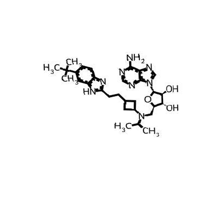 CC(C)N(C[C@H]1O[C@@H](n2cnc3c(N)ncnc32)[C@@H](O)[C@@H]1O)C1CC(CCc2nc3ccc(C(C)(C)C)cc3[nH]2)C1